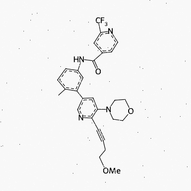 COCCC#Cc1ncc(-c2cc(NC(=O)c3ccnc(C(F)(F)F)c3)ccc2C)cc1N1CCOCC1